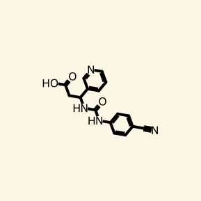 N#Cc1ccc(NC(=O)NC(CC(=O)O)c2cccnc2)cc1